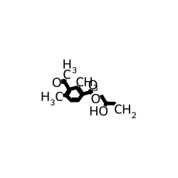 C=CC(O)COC(=O)c1ccc(C)c(C(C)=O)c1C